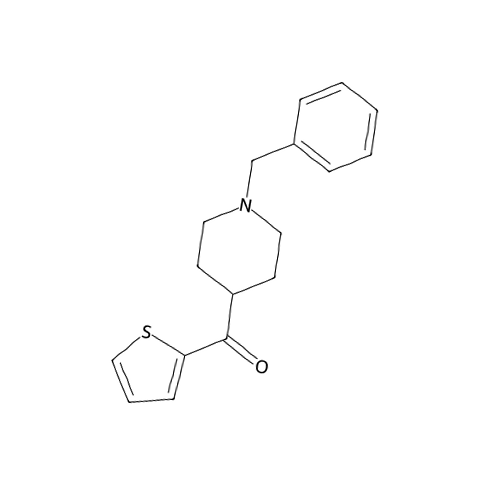 O=C(c1cccs1)C1CCN(Cc2ccccc2)CC1